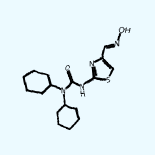 O=C(Nc1nc(C=NO)cs1)N(C1CCCCC1)C1CCCCC1